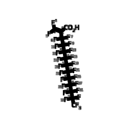 O=C(O)C(=C(F)F)C(F)(F)C(F)(F)C(F)(F)C(F)(F)C(F)(F)C(F)(F)C(F)(F)C(F)(F)C(F)(F)C(F)(F)C(F)(F)F